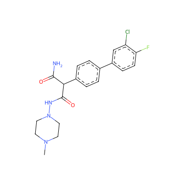 CN1CCN(NC(=O)C(C(N)=O)c2ccc(-c3ccc(F)c(Cl)c3)cc2)CC1